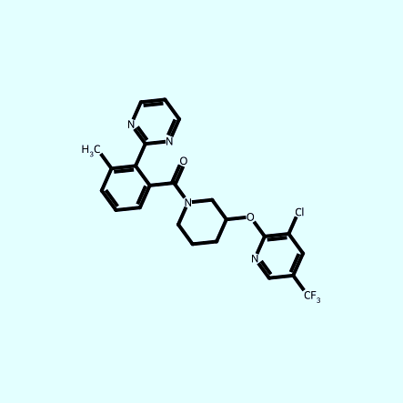 Cc1cccc(C(=O)N2CCCC(Oc3ncc(C(F)(F)F)cc3Cl)C2)c1-c1ncccn1